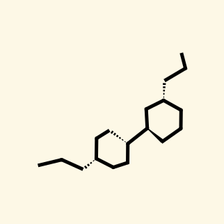 CCC[C@@H]1CCC[C@@H]([C@H]2CC[C@@H](CCC)CC2)C1